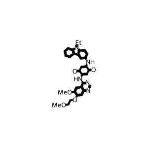 CCn1c2ccccc2c2cc(NC3=CC(=O)C(Nc4ncnc5cc(OCCOC)c(OC)cc45)=CC3=O)ccc21